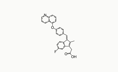 CC1=C(CC(=O)O)c2cc(F)ccc2/C1=C\c1ccc(Oc2cccc3ncccc23)cc1